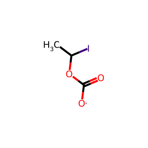 CC(I)OC([O])=O